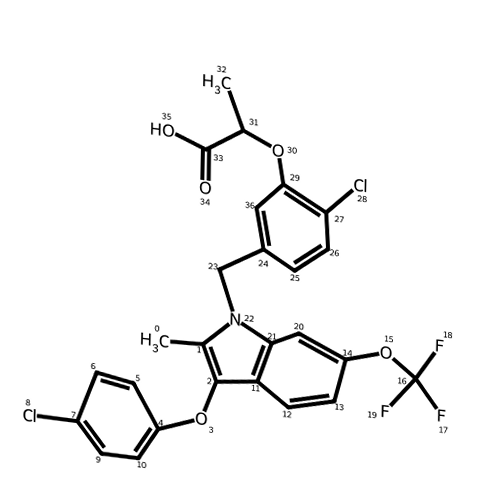 Cc1c(Oc2ccc(Cl)cc2)c2ccc(OC(F)(F)F)cc2n1Cc1ccc(Cl)c(OC(C)C(=O)O)c1